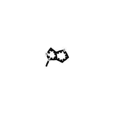 Cn1n[c]c2sccc21